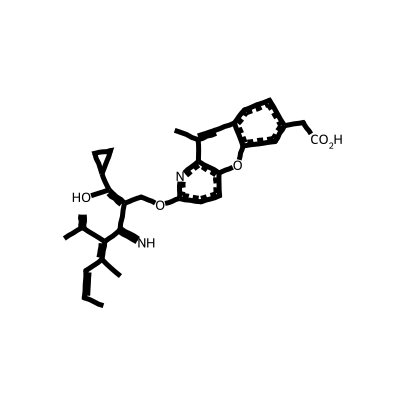 C=C(C)/C(C(=N)/C(COc1ccc2c(n1)C(C)=Cc1ccc(CC(=O)O)cc1O2)=C(\O)C1CC1)=C(C)\C=C/C